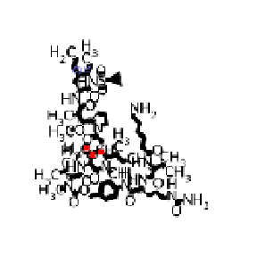 C=C/C=C(\C=C/C)C[C@H](NC(=O)[C@H](C)[C@@H](OC)[C@@H]1CCCN1C(=O)C[C@@H](OC)[C@H]([C@@H](C)CC)N(C)C(=O)[C@@H](NC(=O)[C@H](C(C)C)N(C)C(=O)OCc1ccc(NC(=O)[C@H](CCCNC(N)=O)NC(=O)[C@@H](NC(=O)CCCCCN)C(C)C)cc1)C(C)C)C(=O)NS(=O)(=O)C1CC1